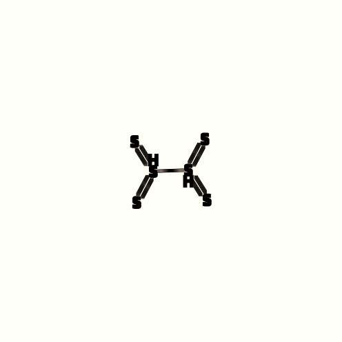 S=[SH](=S)[SH](=S)=S